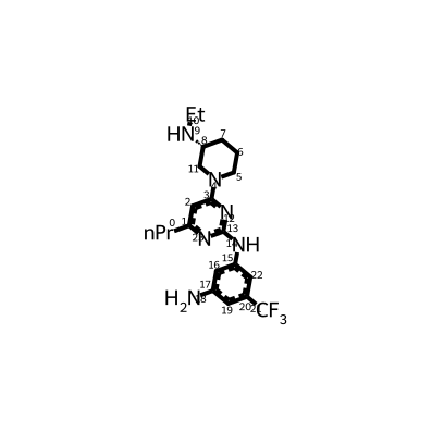 CCCc1cc(N2CCC[C@@H](NCC)C2)nc(Nc2cc(N)cc(C(F)(F)F)c2)n1